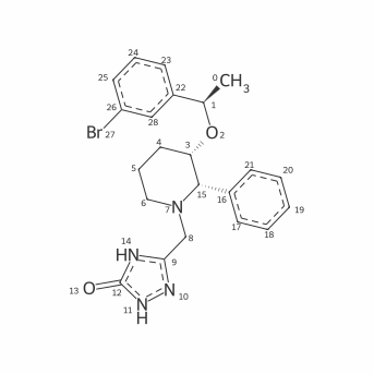 C[C@@H](O[C@H]1CCCN(Cc2n[nH]c(=O)[nH]2)[C@H]1c1ccccc1)c1cccc(Br)c1